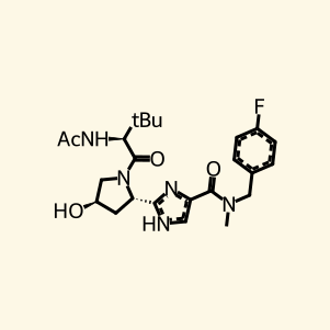 CC(=O)N[C@H](C(=O)N1C[C@H](O)C[C@H]1c1nc(C(=O)N(C)Cc2ccc(F)cc2)c[nH]1)C(C)(C)C